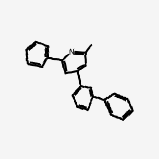 Cc1cc(-c2cccc(-c3ccccc3)c2)cc(-c2ccccc2)n1